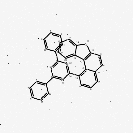 c1ccc(-c2nc(-c3ccccc3)nc(-c3cccc4ccc5sc6ccccc6c5c34)n2)cc1